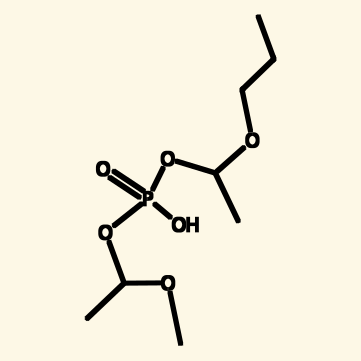 CCCOC(C)OP(=O)(O)OC(C)OC